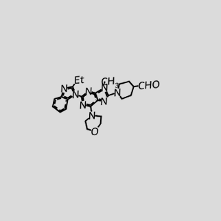 CCc1nc2ccccc2n1-c1nc(N2CCOCC2)c2nc(N3CCC(C=O)CC3)n(C)c2n1